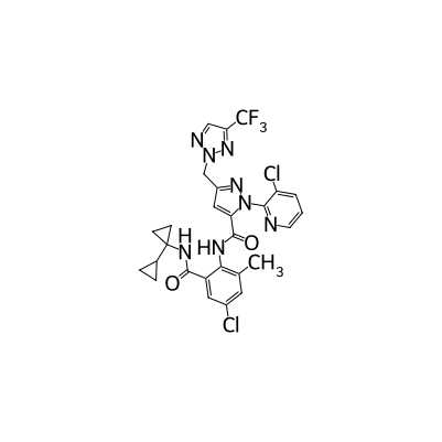 Cc1cc(Cl)cc(C(=O)NC2(C3CC3)CC2)c1NC(=O)c1cc(Cn2ncc(C(F)(F)F)n2)nn1-c1ncccc1Cl